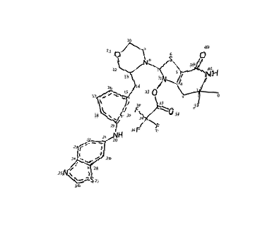 CC1(C)CC2=C(SC(N3CCOCC3Cc3cccc(Nc4ccc5ncsc5c4)c3)N2OC(=O)C(F)(F)F)C(=O)N1